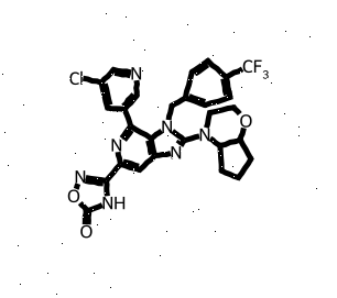 O=c1[nH]c(-c2cc3nc(N4CCOC5CCCC54)n(Cc4ccc(C(F)(F)F)cc4)c3c(-c3cncc(Cl)c3)n2)no1